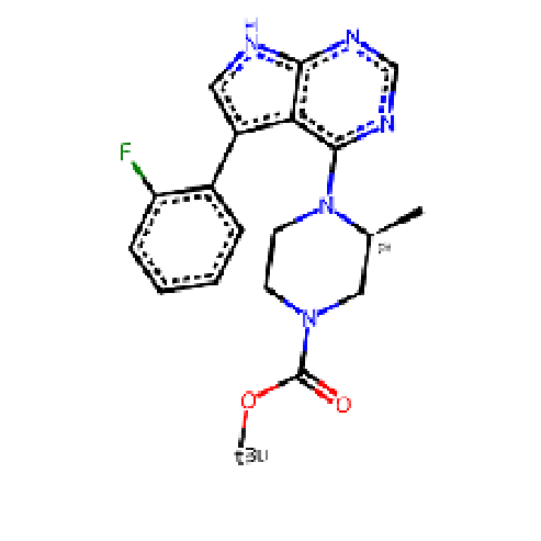 C[C@H]1CN(C(=O)OC(C)(C)C)CCN1c1ncnc2[nH]cc(-c3ccccc3F)c12